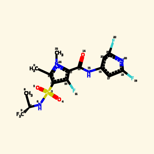 Cc1c(S(=O)(=O)N[C@H](C)C(F)(F)F)c(F)c(C(=O)Nc2cc(F)nc(F)c2)n1C